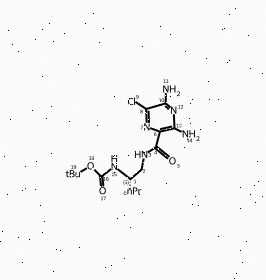 CCC[C@@H](CNC(=O)c1nc(Cl)c(N)nc1N)NC(=O)OC(C)(C)C